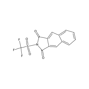 O=C1c2cc3ccccc3cc2C(=O)N1S(=O)(=O)C(F)(F)F